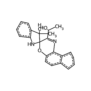 CC(O)C1=Nc2c(ccc3ccccc23)OC12Nc1ccccc1C2(C)C